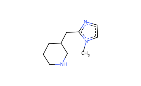 Cn1ccnc1CC1CCCNC1